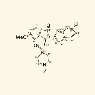 COc1ccc2c(c1)C(OC(=O)N1CCN(C)CC1)N(c1ccc3ccc(Cl)nc3n1)C2=O